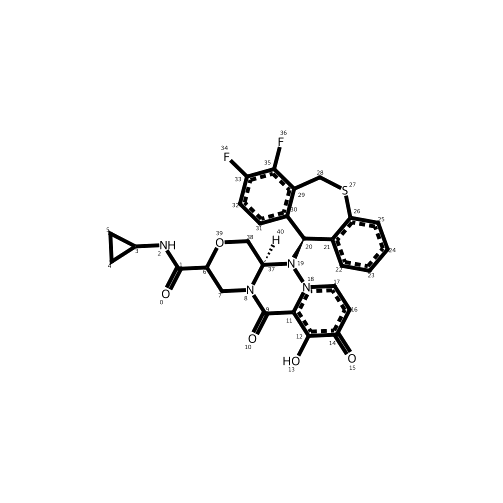 O=C(NC1CC1)C1CN2C(=O)c3c(O)c(=O)ccn3N([C@@H]3c4ccccc4SCc4c3ccc(F)c4F)[C@@H]2CO1